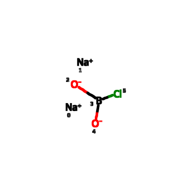 [Na+].[Na+].[O-]B([O-])Cl